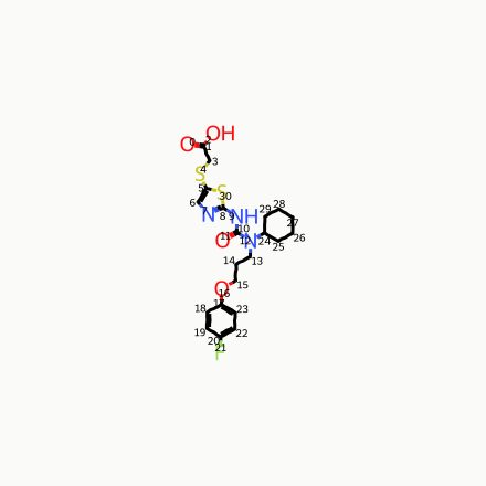 O=C(O)CSc1cnc(NC(=O)N(CCCOc2ccc(F)cc2)C2CCCCC2)s1